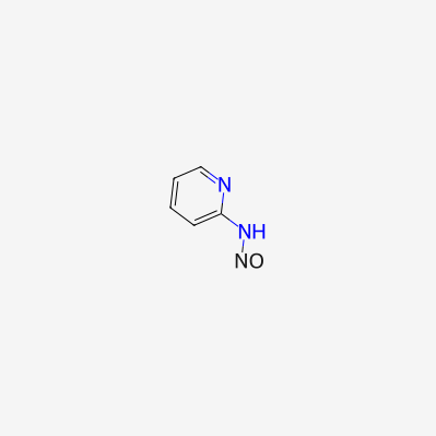 O=NNc1ccccn1